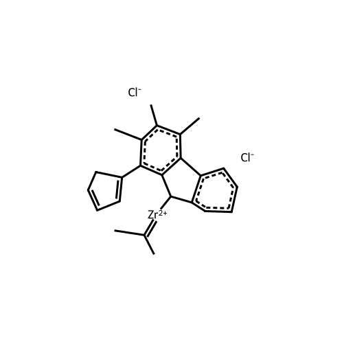 C[C](C)=[Zr+2][CH]1c2ccccc2-c2c(C)c(C)c(C)c(C3=CC=CC3)c21.[Cl-].[Cl-]